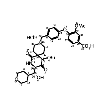 CCCCN1C(=O)[C@@H]([C@H](O)C2CCOCC2)NC(=O)C12CCN(Cc1ccc(Oc3ccc(C(=O)O)cc3OC)cc1)CC2.Cl